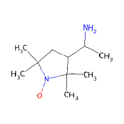 CC(N)C1CC(C)(C)N([O])C1(C)C